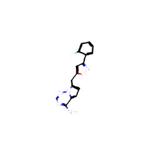 Nc1ncnn2c(Cc3cc(-c4ccccc4F)no3)ccc12